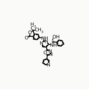 CC1(C)OC(=O)c2ccc(Nc3ncc(-c4nnc(-c5cccnc5)o4)c(N[C@H](CO)c4ccccc4)n3)cc21